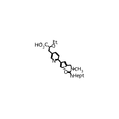 CCCCCCCC(=O)N(C)Cc1cc(-c2ccc(C[C@H](OCC)C(=O)O)cn2)cs1